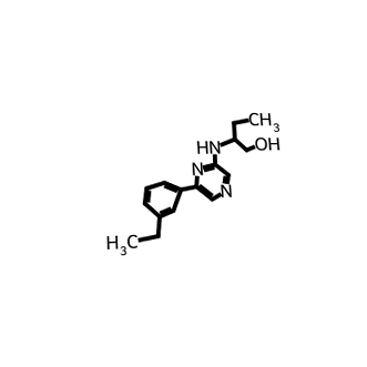 CCc1cccc(-c2cncc(NC(CC)CO)n2)c1